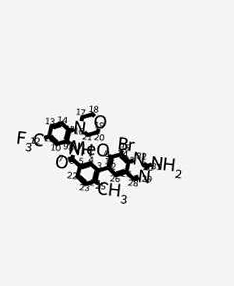 COc1c(-c2cc(C(=O)Nc3cc(C(F)(F)F)ccc3N3CCOCC3)ccc2C)cc2cnc(N)nc2c1Br